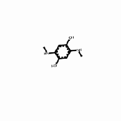 CNc1cc(O)c(NC)cc1O